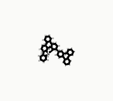 c1ccc2c(c1)c1ccccc1c1cc(-c3ccc4c5ccccc5c5ccc6c7ccccc7n7c3c4c5c67)ccc21